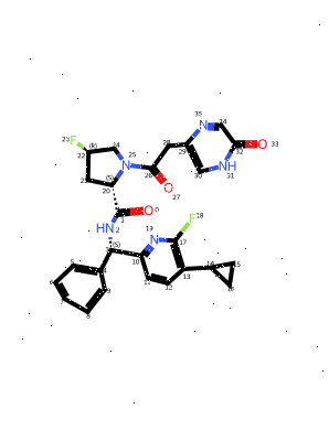 O=C(N[C@@H](c1ccccc1)c1ccc(C2CC2)c(F)n1)[C@@H]1C[C@@H](F)CN1C(=O)Cc1c[nH]c(=O)cn1